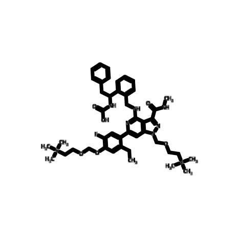 CCc1cc(OCOCC[Si](C)(C)C)c(F)cc1-c1cc2c(c(NCc3ccccc3C(Cc3ccccc3)NC(=O)O)n1)c(C(=O)NC)nn2COCC[Si](C)(C)C